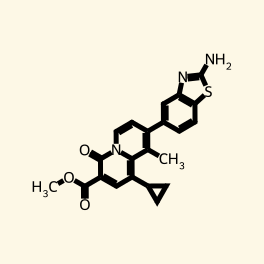 COC(=O)c1cc(C2CC2)c2c(C)c(-c3ccc4sc(N)nc4c3)ccn2c1=O